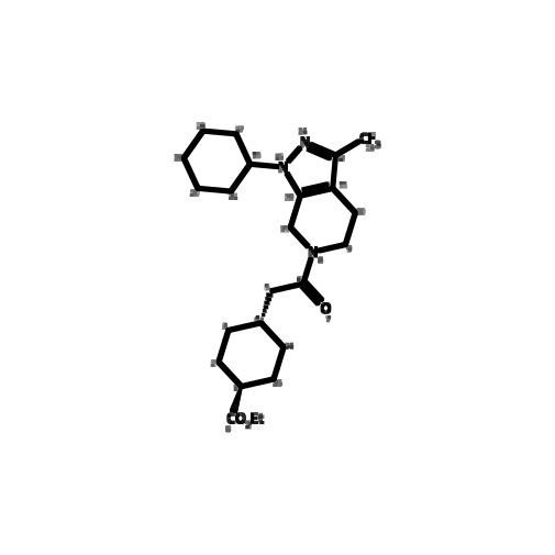 CCOC(=O)[C@H]1CC[C@H](CC(=O)N2CCc3c(C(F)(F)F)nn(C4CCCCC4)c3C2)CC1